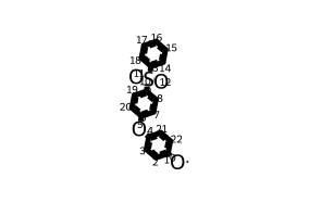 [O]c1ccc(Oc2ccc(S(=O)(=O)c3cc[c]cc3)cc2)cc1